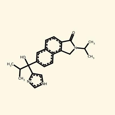 CC(C)N1Cc2c(ccc3cc(C(O)(c4c[nH]cn4)C(C)C)ccc23)C1=O